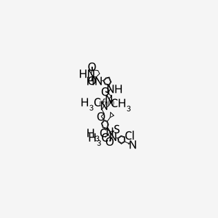 C[C@@H]1CN(CC(=O)Nc2cccc(NC3CCC(=O)NC3=O)c2)[C@H](C)CN1CCOc1ccc(N2C(=S)N(c3ccc(C#N)c(Cl)c3)C(=O)C2(C)C)cc1C1CC1